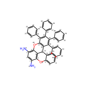 Nc1cc(N)c2c3c1Oc1ccccc1B3c1c(c(-c3ccccc3)c(-c3ccccc3)c(-c3ccccc3)c1-c1ccccc1)O2